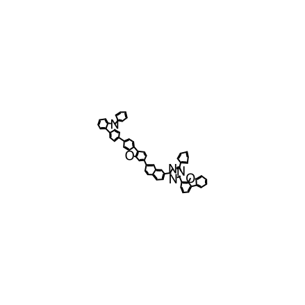 c1ccc(-c2nc(-c3ccc4ccc(-c5ccc6c(c5)oc5cc(-c7ccc8c9ccccc9n(-c9ccccc9)c8c7)ccc56)cc4c3)nc(-c3cccc4c3oc3ccccc34)n2)cc1